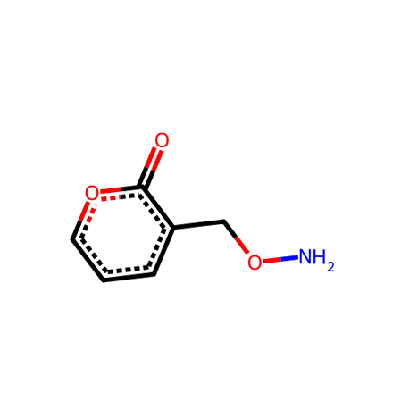 NOCc1cccoc1=O